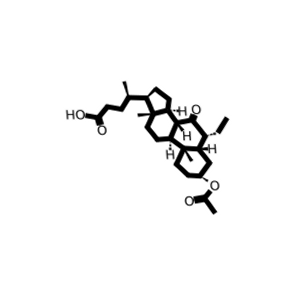 CC[C@H]1C(=O)[C@@H]2[C@H](CC[C@]3(C)[C@@H]([C@H](C)CCC(=O)O)CC[C@@H]23)[C@@]2(C)CC[C@@H](OC(C)=O)C[C@@H]12